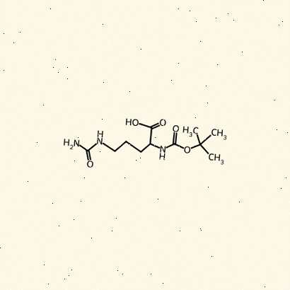 CC(C)(C)OC(=O)NC(CCCNC(N)=O)C(=O)O